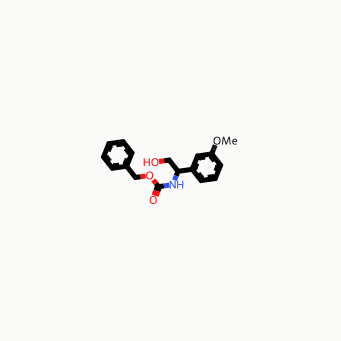 COc1cccc(C(CO)NC(=O)OCc2ccccc2)c1